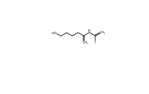 C=C(I)NC(=C)CCCCO